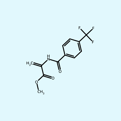 C=C(NC(=O)c1ccc(C(F)(F)F)cc1)C(=O)OC